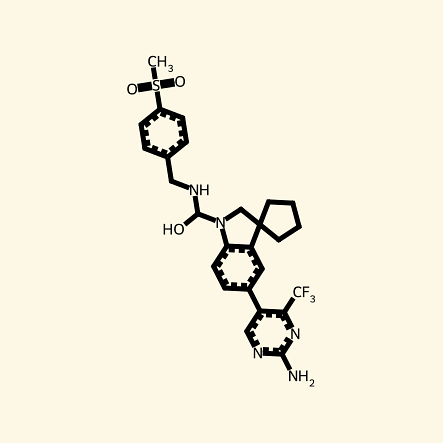 CS(=O)(=O)c1ccc(CNC(O)N2CC3(CCCC3)c3cc(-c4cnc(N)nc4C(F)(F)F)ccc32)cc1